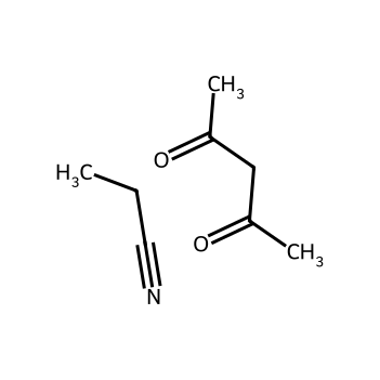 CC(=O)CC(C)=O.CCC#N